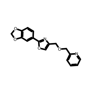 c1ccc(COCc2coc(-c3ccc4c(c3)OCO4)n2)nc1